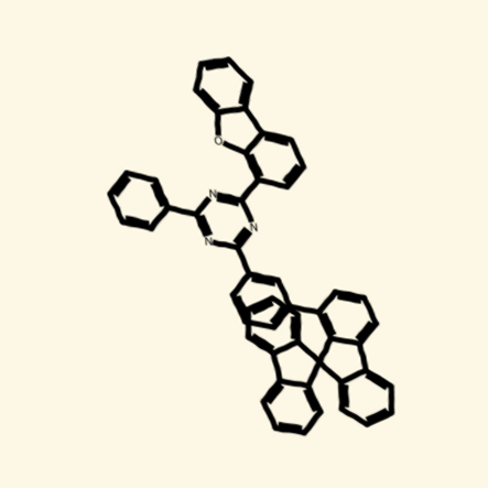 c1ccc(-c2nc(-c3cccc(-c4cccc5c4C4(c6ccccc6-c6ccccc64)c4ccccc4-5)c3)nc(-c3cccc4c3oc3ccccc34)n2)cc1